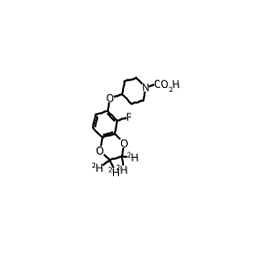 [2H]C1([2H])Oc2ccc(OC3CCN(C(=O)O)CC3)c(F)c2OC1([2H])[2H]